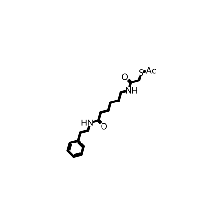 CC(=O)SCC(=O)NCCCCCC(=O)NCCc1ccccc1